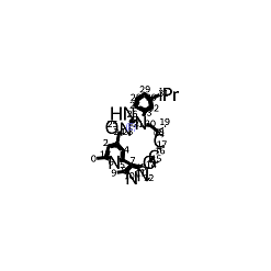 Cc1cc2cc(n1)-c1c(C)nn(C)c1OCCC[C@@H](C)CN1/C(=N/C2=O)Nc2ccc(C(C)C)cc21